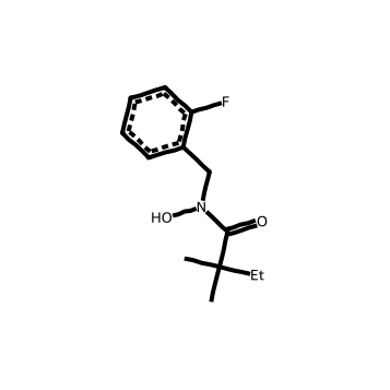 CCC(C)(C)C(=O)N(O)Cc1ccccc1F